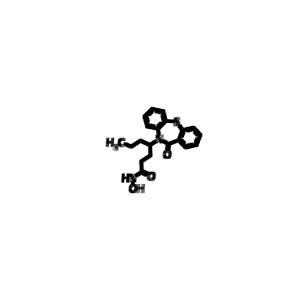 CCCC(CCC(=O)NO)N1C(=O)c2ccccc2Sc2ccccc21